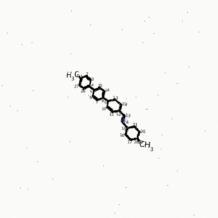 Cc1ccc(-c2ccc(C3C=CC(/C=C/C4CCC(C)CC4)CC3)cc2)cc1